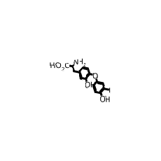 NC(Cc1ccc(Oc2ccc(O)c(I)c2)c(O)c1)C(=O)O